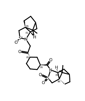 CC1(C)C2CC[C@@]13C[S+]([O-])N(CC(=O)[C@H]1CCC[C@H](C(=O)N4[C@H]5CC6CC[C@@]5(CS4(=O)=O)C6(C)C)C1)[C@H]3C2